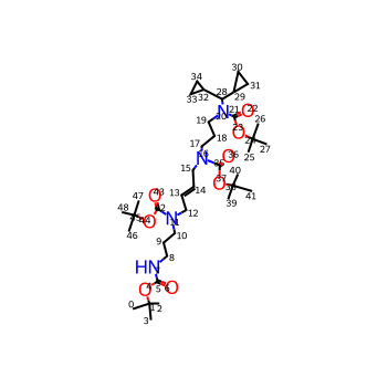 CC(C)(C)OC(=O)NCCCN(CC=CCN(CCCN(C(=O)OC(C)(C)C)C(C1CC1)C1CC1)C(=O)OC(C)(C)C)C(=O)OC(C)(C)C